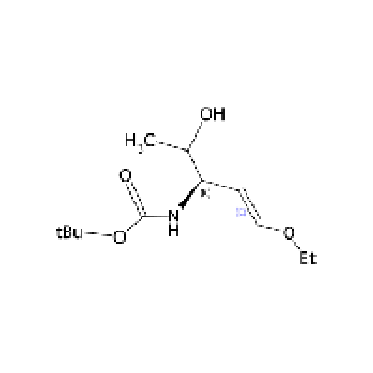 CCO/C=C/[C@@H](NC(=O)OC(C)(C)C)C(C)O